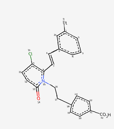 CCc1cccc(/C=C/c2c(Cl)ccc(=O)n2CCc2ccc(C(=O)O)cc2)c1